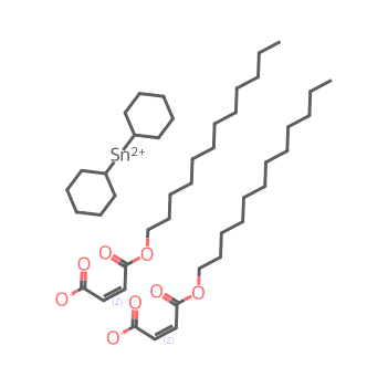 C1CC[CH]([Sn+2][CH]2CCCCC2)CC1.CCCCCCCCCCCCOC(=O)/C=C\C(=O)[O-].CCCCCCCCCCCCOC(=O)/C=C\C(=O)[O-]